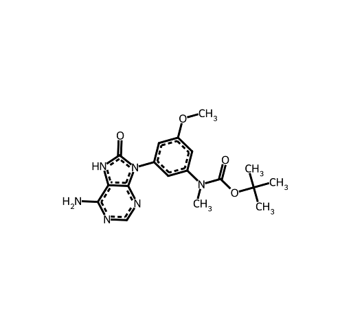 COc1cc(N(C)C(=O)OC(C)(C)C)cc(-n2c(=O)[nH]c3c(N)ncnc32)c1